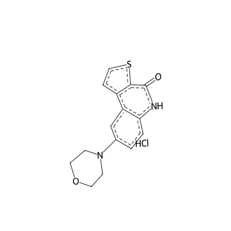 Cl.O=c1[nH]c2ccc(N3CCOCC3)cc2c2ccsc12